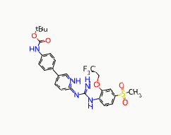 CC(C)(C)OC(=O)Nc1ccc(-c2cc/c(=N/C(=N)Nc3ccc(S(C)(=O)=O)cc3OCC(F)(F)F)[nH]c2)cc1